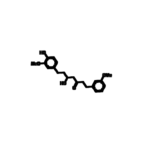 COc1cccc(CCC(=O)CC(O)CCc2ccc(O)c(OC)c2)c1